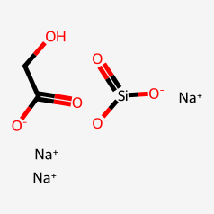 O=C([O-])CO.O=[Si]([O-])[O-].[Na+].[Na+].[Na+]